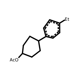 CCc1ccc(C2CCC(OC(C)=O)CC2)cc1